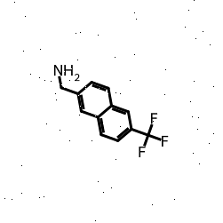 NCc1ccc2cc(C(F)(F)F)ccc2c1